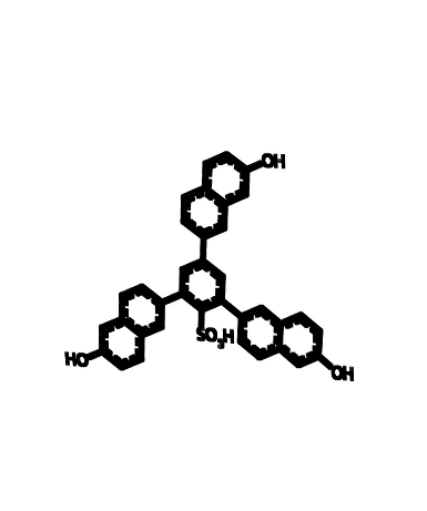 O=S(=O)(O)c1c(-c2ccc3cc(O)ccc3c2)cc(-c2ccc3ccc(O)cc3c2)cc1-c1ccc2cc(O)ccc2c1